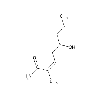 CCCC(O)CC=C(C)C(N)=O